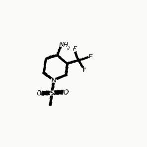 CS(=O)(=O)N1CCC(N)C(C(F)(F)F)C1